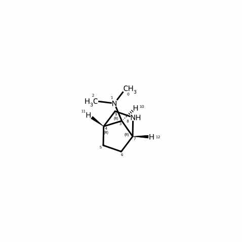 CN(C)[C@@H]1[C@@H]2CC[C@H]1NC2